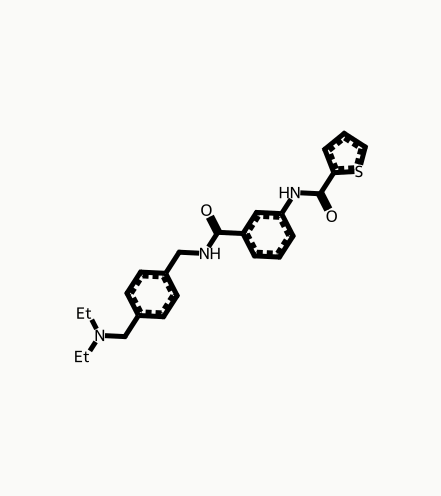 CCN(CC)Cc1ccc(CNC(=O)c2cccc(NC(=O)c3cccs3)c2)cc1